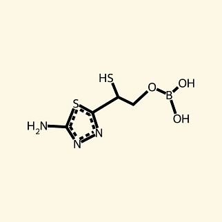 Nc1nnc(C(S)COB(O)O)s1